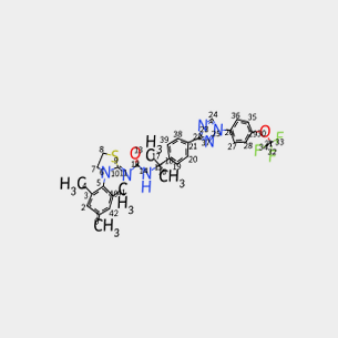 Cc1cc(C)c(N2CCS/C2=N\C(=O)NC(C)(C)c2ccc(-c3ncn(-c4ccc(OC(F)(F)F)cc4)n3)cc2)c(C)c1